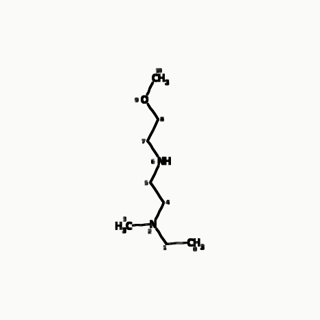 CCN(C)CCNCCOC